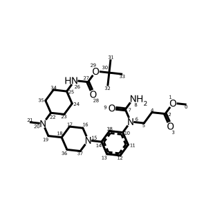 COC(=O)CCN(C(N)=O)c1cccc(N2CCC(CN(C)C3CCC(NC(=O)OC(C)(C)C)CC3)CC2)c1